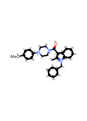 COc1ccc(N2CCN(C(=O)c3c(C)n(Cc4ccccc4)c4ccccc34)CC2)cc1